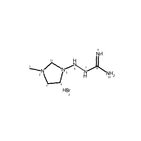 Br.CN1CCN(NNC(=N)N)C1